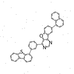 c1cc(-c2ncnc3c2oc2ccc(-c4cccc5ccccc45)cc23)cc(-c2cccc3c2sc2ccccc23)c1